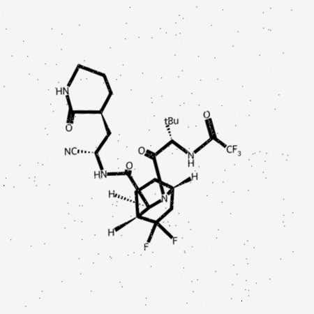 CC(C)(C)[C@H](NC(=O)C(F)(F)F)C(=O)N1[C@@H]2CC[C@H]([C@H]1C(=O)N[C@H](C#N)C[C@@H]1CCCNC1=O)C(F)(F)C2